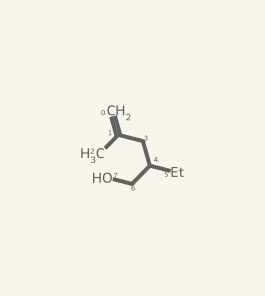 C=C(C)CC(CC)CO